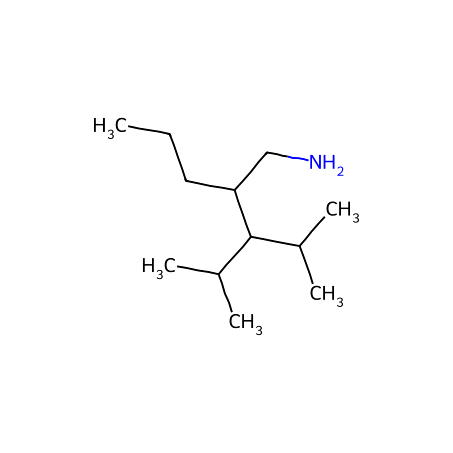 CCCC(CN)C(C(C)C)C(C)C